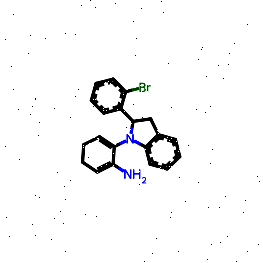 NC1=CCCC=C1N1c2ccccc2CC1c1ccccc1Br